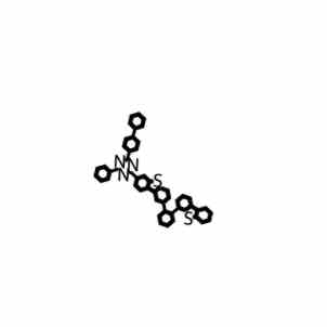 c1ccc(-c2ccc(-c3nc(-c4ccccc4)nc(-c4ccc5c(c4)sc4ccc(-c6ccccc6-c6cccc7c6sc6ccccc67)cc45)n3)cc2)cc1